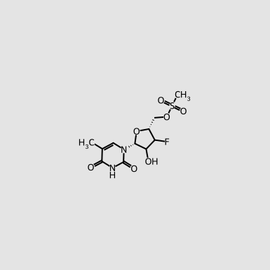 Cc1cn([C@@H]2O[C@H](COS(C)(=O)=O)C(F)C2O)c(=O)[nH]c1=O